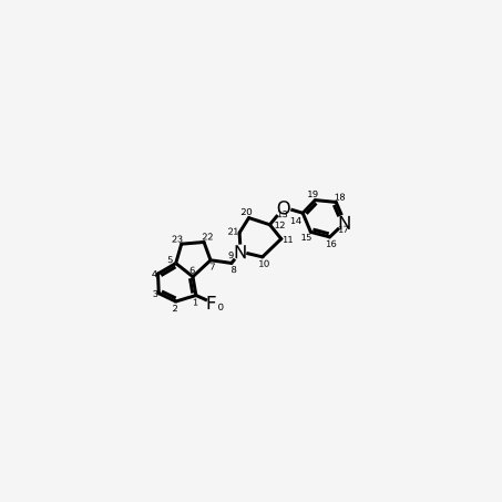 Fc1cccc2c1C(CN1CCC(Oc3ccncc3)CC1)CC2